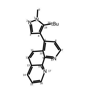 Cn1ncc(-c2ccnc3c2ccc2cccnc23)c1C(C)(C)C